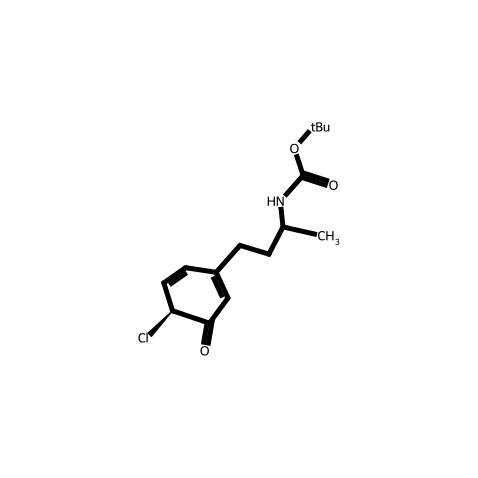 CC(CCC1=CC(=O)[C@@H](Cl)C=C1)NC(=O)OC(C)(C)C